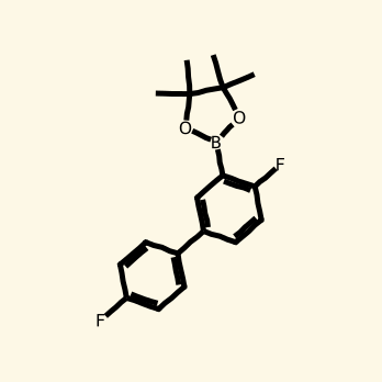 CC1(C)OB(c2cc(-c3ccc(F)cc3)ccc2F)OC1(C)C